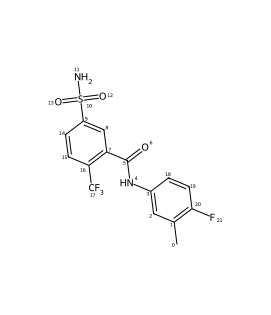 Cc1cc(NC(=O)c2cc(S(N)(=O)=O)ccc2C(F)(F)F)ccc1F